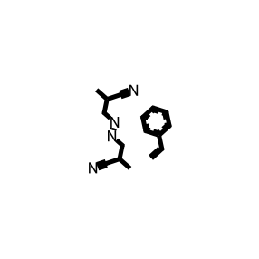 C=Cc1ccccc1.CC(C#N)CN=NCC(C)C#N